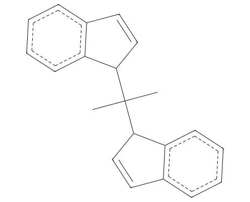 CC(C)(C1C=Cc2ccccc21)C1C=Cc2ccccc21